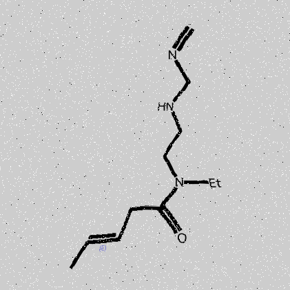 C=NCNCCN(CC)C(=O)C/C=C/C